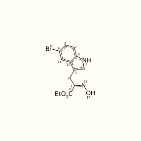 CCOC(=O)C(Cc1c[nH]c2ccc(Br)cc12)=NO